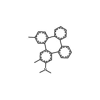 Cc1ccc2c(c1)-c1cc(C)c(N(C)C)cc1-c1ccccc1-c1ccccc1-2